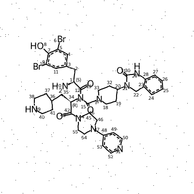 N[C@@H](Cc1cc(Br)c(O)c(Br)c1)C(=O)N(C(=O)N1CCC(N2Cc3ccccc3NC2=O)CC1)[C@H](CC1CCNCC1)C(=O)N1CCN(c2ccncc2)CC1